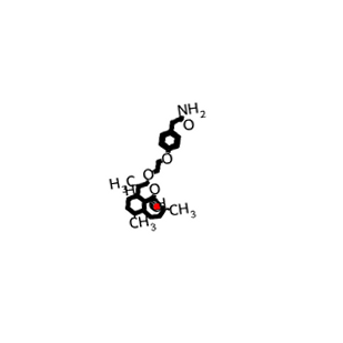 C[C@H]1[C@@H](OCCOc2ccc(CC(N)=O)cc2)O[C@@H]2O[C@@]3(C)CCC4[C@H](C)CC[C@@H]1[C@]42OO3